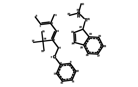 CC=C(C)C=C(COc1ccccc1)C(C)(C)C.C[SiH](C)[Ti][CH]1C=Cc2ccccc21